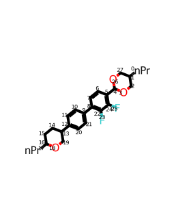 CCCC1COC(c2ccc(-c3ccc(C4CCC(CCC)OC4)cc3)c(F)c2F)OC1